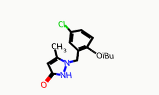 Cc1cc(=O)[nH]n1Cc1cc(Cl)ccc1OCC(C)C